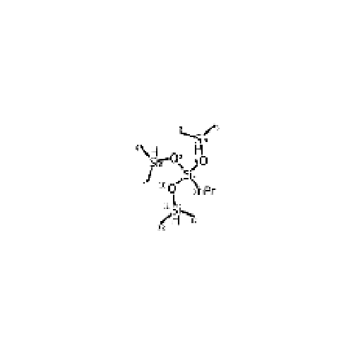 [CH2]CC[Si](O[SiH](C)C)(O[SiH](C)C)O[SiH](C)C